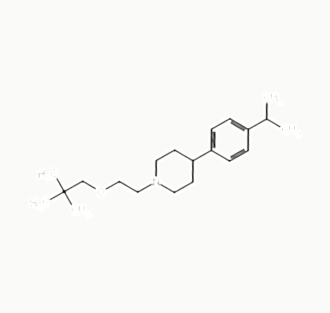 CC(C)c1ccc(C2CCN(CCOCC(C)(C)C)CC2)cc1